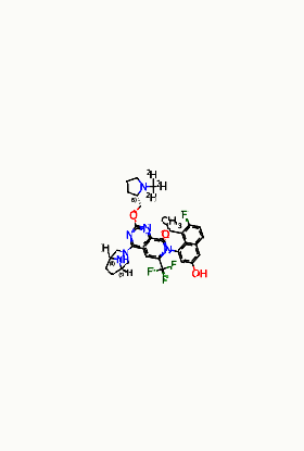 [2H]C([2H])([2H])N1CCC[C@H]1COc1nc(N2C[C@H]3CC[C@@H](C2)N3)c2cc(C(F)(F)F)n(-c3cc(O)cc4ccc(F)c(CC)c34)c(=O)c2n1